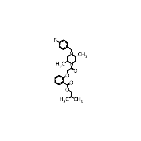 CC(C)COC(=O)c1ccccc1OCC(=O)N1C[C@@H](C)N(Cc2ccc(F)cc2)C[C@@H]1C